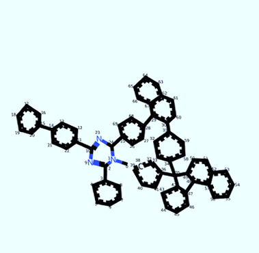 CN1C(c2ccccc2)=NC(c2ccc(-c3ccccc3)cc2)=NC1c1ccc(-c2c(-c3ccc(C4(c5ccccc5)c5ccccc5-c5c4ccc4ccccc54)cc3)ccc3ccccc23)cc1